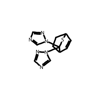 C1=CC2CCC1SC2(n1cncn1)n1cncn1